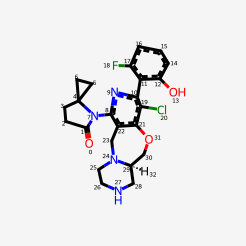 O=C1CCC2(CC2)N1c1nc(-c2c(O)cccc2F)c(Cl)c2c1CN1CCNC[C@@H]1CO2